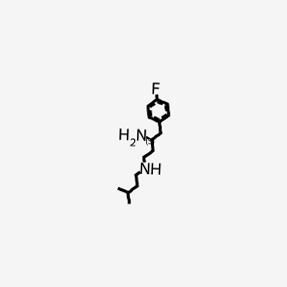 CC(C)CCNCC[C@@H](N)Cc1ccc(F)cc1